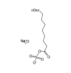 CCCCCCCCCCCCCCCCCC(=O)OS(=O)(=O)[O-].O.[Na+]